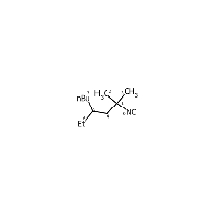 [C-]#[N+]C(C)(C)CC(CC)CCCC